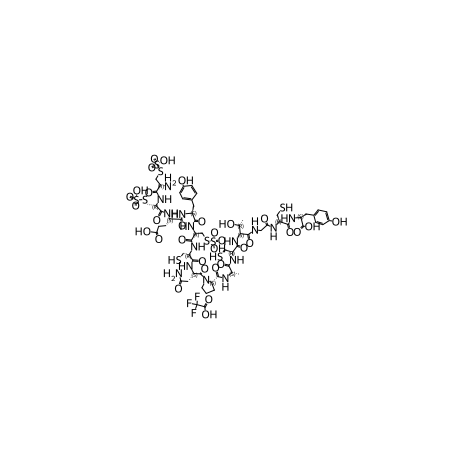 C[C@H](NC(=O)[C@@H]1CCCN1C(=O)[C@H](CC(N)=O)NC(=O)[C@H](CS)NC(=O)[C@H](CSS(=O)(=O)O)NC(=O)[C@H](Cc1ccc(O)cc1)NC(=O)[C@H](CCC(=O)O)NC(=O)[C@H](CSS(=O)(=O)O)NC(=O)[C@@H](N)CSS(=O)(=O)O)C(=O)N[C@@H](CS)C(=O)N[C@H](C(=O)NCC(=O)N[C@@H](CS)C(=O)N[C@@H](Cc1ccc(O)cc1)C(=O)O)[C@@H](C)O.O=C(O)C(F)(F)F